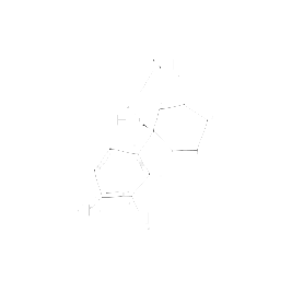 NC[C@@H]1CCCC[C@]1(O)c1ccc(Cl)c(Cl)c1